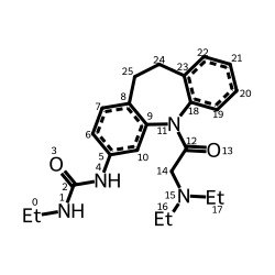 CCNC(=O)Nc1ccc2c(c1)N(C(=O)CN(CC)CC)c1ccccc1CC2